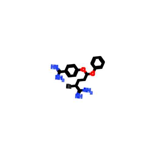 CCC(CCC(Oc1ccccc1)Oc1ccc(C(=N)N)cc1)C(=N)N